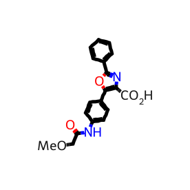 COCC(=O)Nc1ccc(-c2oc(-c3ccccc3)nc2C(=O)O)cc1